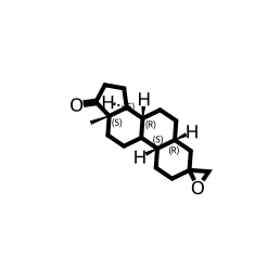 C[C@]12CCC3[C@H]4CCC5(CO5)C[C@H]4CC[C@H]3[C@@H]1CCC2=O